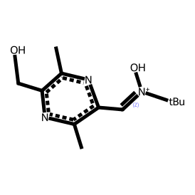 Cc1nc(CO)c(C)nc1/C=[N+](\O)C(C)(C)C